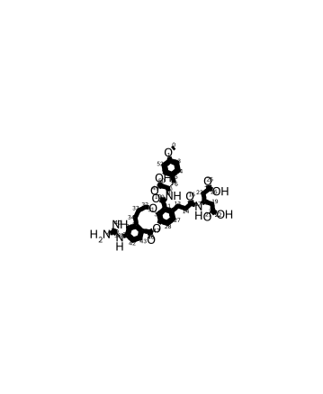 COc1ccc(C[C@H](NC(=O)c2c(CCC(=O)NC(CC(=O)O)CC(=O)O)ccc3c2OCCCc2cc(NC(=N)N)ccc2C(=O)O3)C(=O)O)cc1